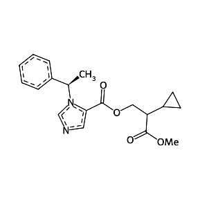 COC(=O)C(COC(=O)c1cncn1[C@H](C)c1ccccc1)C1CC1